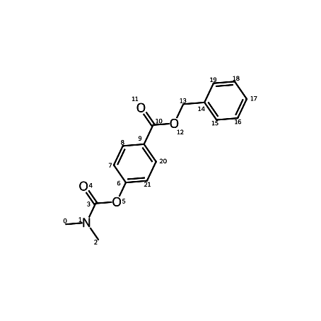 CN(C)C(=O)Oc1ccc(C(=O)OCc2ccccc2)cc1